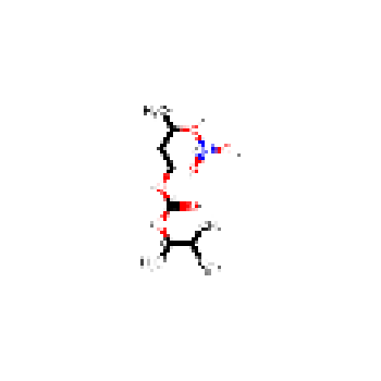 CC(CCOC(=O)OC(C)C(C)C)O[N+](=O)[O-]